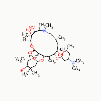 CC[C@H]1OC(=O)[C@H](C)C(O[C@H]2CC(C)(C)[C@@H](O)[C@H](C)O2)[C@H](C)[C@@H](OC2C[C@@H](N(C)C)C[C@@H](C)O2)[C@](C)(O)C[C@@H](C)CN(C)[C@H](C)[C@@H](O)[C@]1(C)O